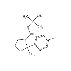 CC(C)(C)OC(=O)N1CCCC1(C)c1ncc(I)cn1